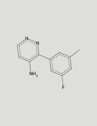 Cc1cc(F)cc(-c2nnccc2N)c1